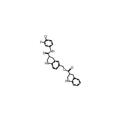 O=C(Nc1ccc(Cl)c(F)c1)C1CNc2ccc(COC(=O)C3CNc4ccccc4C3)cc2C1